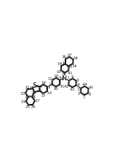 c1ccc(-c2ccc(N(c3ccc(-c4ccc5c(c4)sc4ccc6ccccc6c45)cc3)c3ccc4ccccc4c3)cc2)cc1